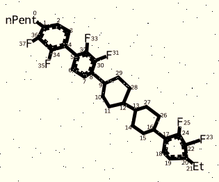 CCCCCc1ccc(-c2ccc(C3CCC(C4CCC(c5ccc(CC)c(F)c5F)CC4)CC3)c(F)c2F)c(F)c1F